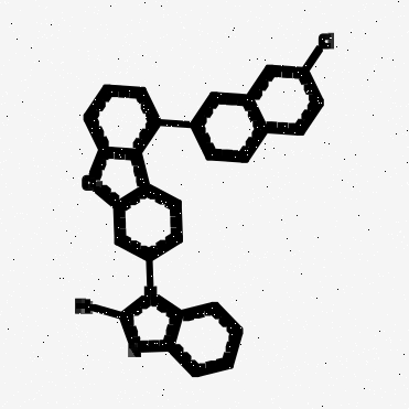 CCc1nc2ccccc2n1-c1ccc2c(c1)oc1cccc(-c3ccc4ccc(Cl)cc4c3)c12